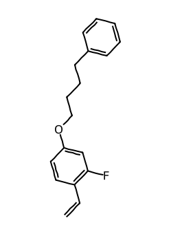 C=Cc1ccc(OCCCCc2ccccc2)cc1F